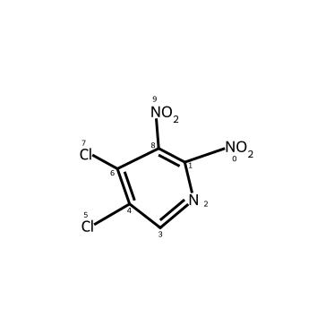 O=[N+]([O-])c1ncc(Cl)c(Cl)c1[N+](=O)[O-]